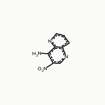 Nc1c([N+](=O)[O-])cnc2cccnc12